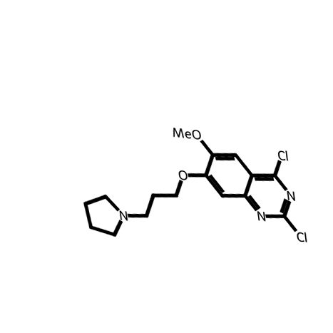 COc1cc2c(Cl)nc(Cl)nc2cc1OCCCN1CCCC1